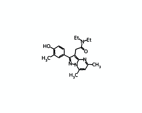 CCN(CC)C(=O)Cc1c(-c2ccc(O)c(C)c2)nn2c(C)cc(C)nc12